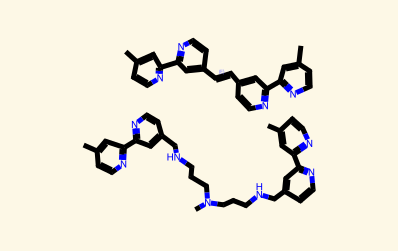 Cc1ccnc(-c2cc(/C=C/c3ccnc(-c4cc(C)ccn4)c3)ccn2)c1.Cc1ccnc(-c2cc(CNCCCN(C)CCCNCc3ccnc(-c4cc(C)ccn4)c3)ccn2)c1